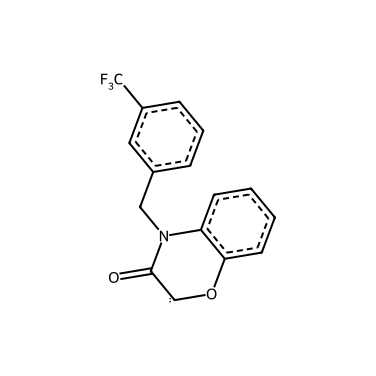 O=C1[C]Oc2ccccc2N1Cc1cccc(C(F)(F)F)c1